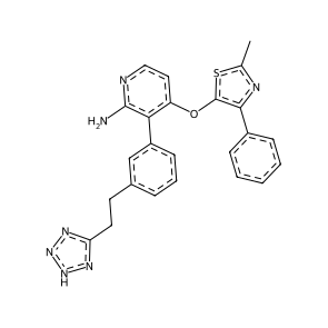 Cc1nc(-c2ccccc2)c(Oc2ccnc(N)c2-c2cccc(CCc3nn[nH]n3)c2)s1